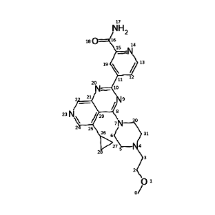 COCCN1CCN(c2nc(-c3ccnc(C(N)=O)c3)nc3cncc(C4CC4)c23)CC1